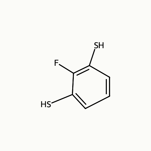 Fc1c(S)cccc1S